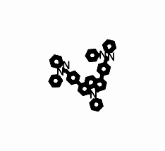 c1ccc(-n2c(-c3ccc(-c4ccc5c6c4ccc4c(-c7ccc(-c8nc9ccccc9n8-c8ccccc8)cc7)ccc(c46)n5-c4ccccc4)cc3)nc3ccccc32)cc1